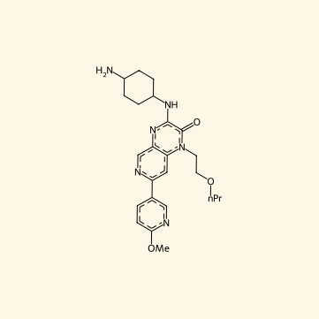 CCCOCCn1c(=O)c(NC2CCC(N)CC2)nc2cnc(-c3ccc(OC)nc3)cc21